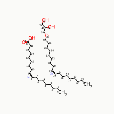 CCCCCCCC/C=C\CCCCCCCC(=O)O.CCCCCCCC/C=C\CCCCCCCCOCC(O)CO